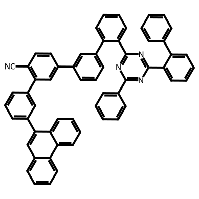 N#Cc1ccc(-c2cccc(-c3ccccc3-c3nc(-c4ccccc4)nc(-c4ccccc4-c4ccccc4)n3)c2)cc1-c1cccc(-c2cc3ccccc3c3ccccc23)c1